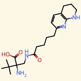 CC(C)(C)C(N)(CNC(=O)CCCCc1ccc2c(n1)NCCC2)C(=O)O